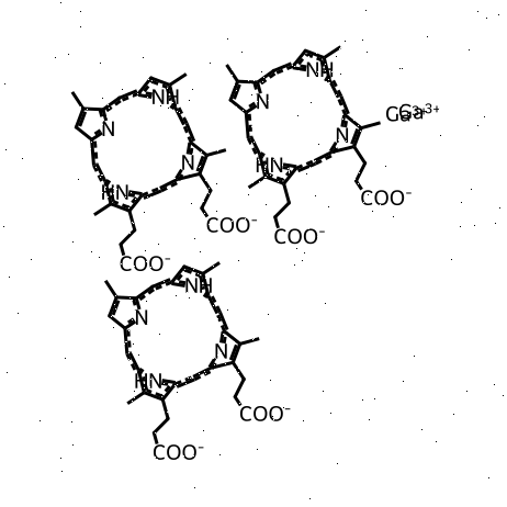 CC1=Cc2cc3[nH]c(cc4nc(cc5[nH]c(cc1n2)cc5C)C(C)=C4CCC(=O)[O-])c(CCC(=O)[O-])c3C.CC1=Cc2cc3[nH]c(cc4nc(cc5[nH]c(cc1n2)cc5C)C(C)=C4CCC(=O)[O-])c(CCC(=O)[O-])c3C.CC1=Cc2cc3[nH]c(cc4nc(cc5[nH]c(cc1n2)cc5C)C(C)=C4CCC(=O)[O-])c(CCC(=O)[O-])c3C.[Ga+3].[Ga+3]